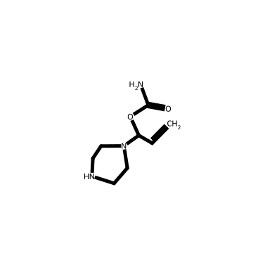 C=CC(OC(N)=O)N1CCNCC1